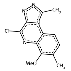 COc1c(C)ccc2c1nc(Cl)c1nnc(C)n12